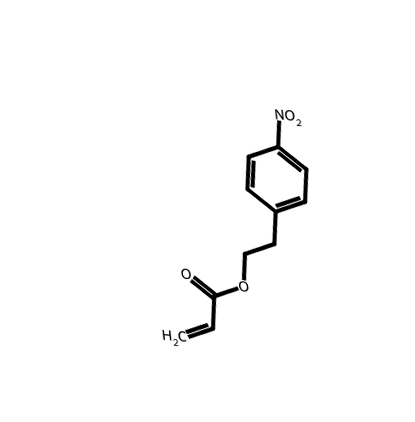 C=CC(=O)OCCc1ccc([N+](=O)[O-])cc1